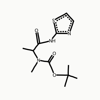 CC(C(=O)Nc1nccs1)N(C)C(=O)OC(C)(C)C